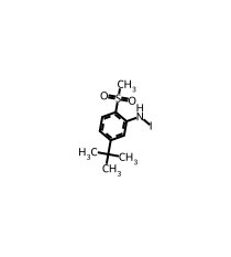 CC(C)(C)c1ccc(S(C)(=O)=O)c(NI)c1